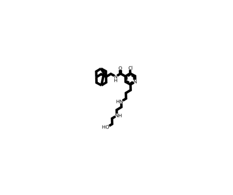 O=C(NCC12CC3CC(CC(C3)C1)C2)c1cc(CCCNCCNCCO)ncc1Cl